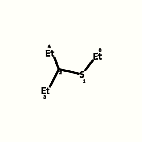 CCSC(CC)CC